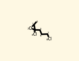 CC1OC1(Cl)CCCCl